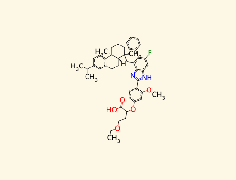 CCOCCC(Oc1ccc(-c2nc3c(C[C@@]4(C)CCC[C@]5(C)c6ccc(C(C)C)cc6CC[C@@H]45)c(-c4ccccc4)c(F)cc3[nH]2)c(OC)c1)C(=O)O